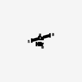 Br.[I][Cu][I]